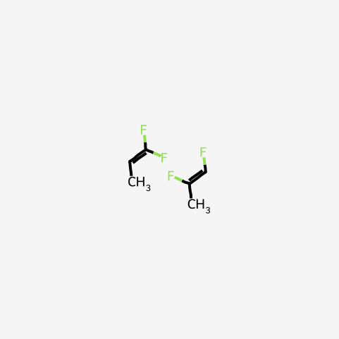 CC(F)=CF.CC=C(F)F